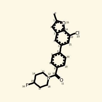 Cc1cc2cc(-c3ccc(C(=O)N4CCC(F)CC4)cc3)cc(Cl)c2o1